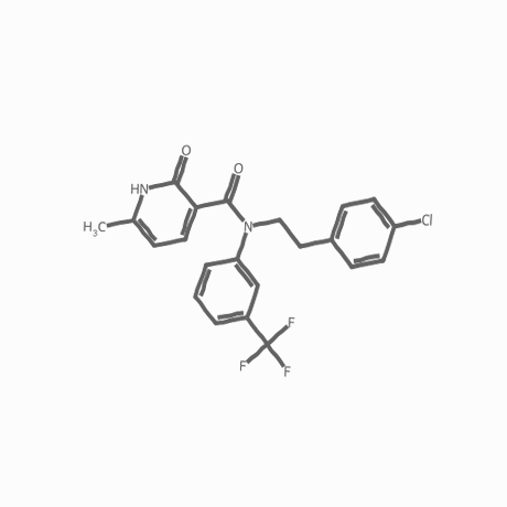 Cc1ccc(C(=O)N(CCc2ccc(Cl)cc2)c2cccc(C(F)(F)F)c2)c(=O)[nH]1